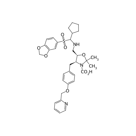 CC1(C)O[C@H](CNC(C2CCCC2)S(=O)(=O)c2ccc3c(c2)OCO3)[C@H](Cc2ccc(OCc3ccccn3)cc2)N1C(=O)O